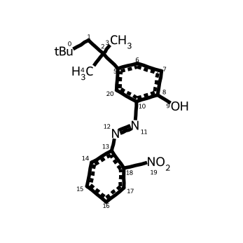 CC(C)(C)CC(C)(C)c1ccc(O)c(N=Nc2ccccc2[N+](=O)[O-])c1